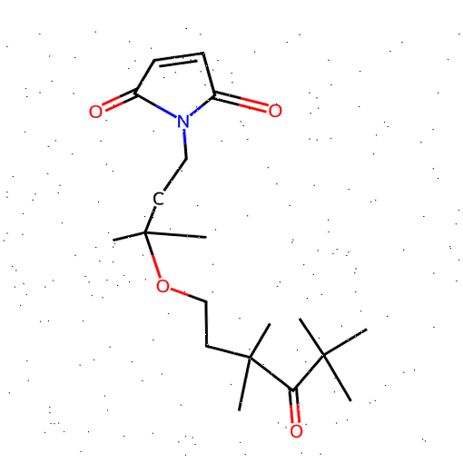 CC(C)(CCN1C(=O)C=CC1=O)OCCC(C)(C)C(=O)C(C)(C)C